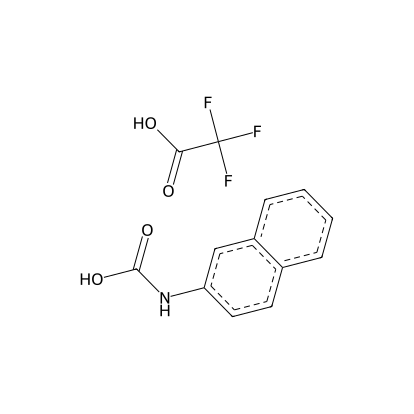 O=C(O)C(F)(F)F.O=C(O)Nc1ccc2ccccc2c1